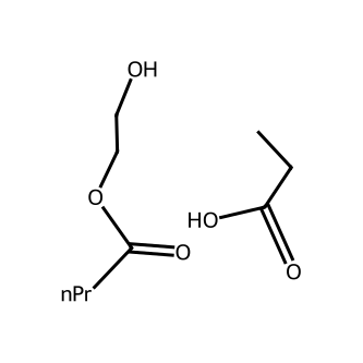 CCC(=O)O.CCCC(=O)OCCO